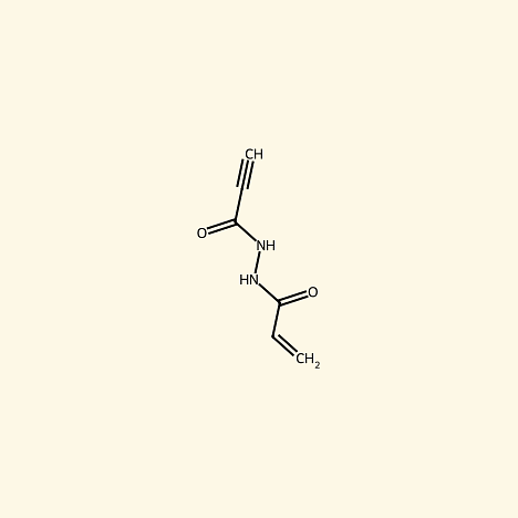 C#CC(=O)NNC(=O)C=C